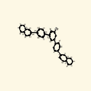 Brc1cc(-c2ccc(-c3ccc4ccccc4c3)cc2)cc(-c2ccc(-c3ccc4ccccc4c3)cc2)c1